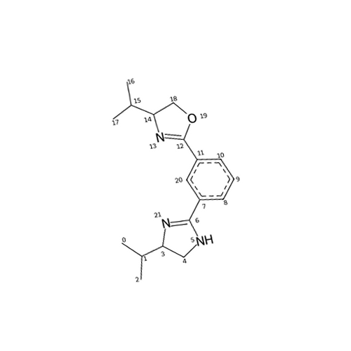 CC(C)C1CNC(c2cccc(C3=NC(C(C)C)CO3)c2)=N1